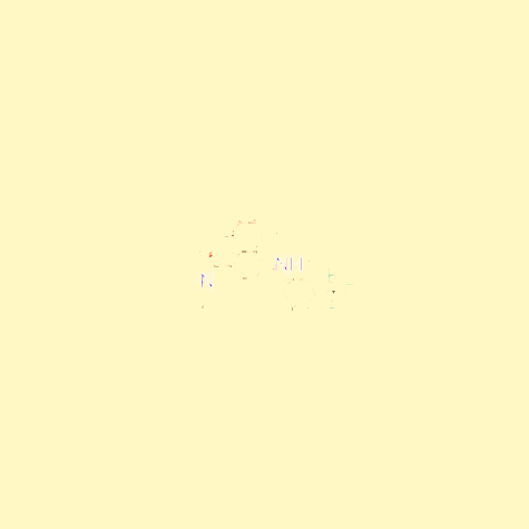 CCN(CC)C(=O)c1ccc(Nc2cccc(C(F)(F)F)c2C)c2cccc(C)c12